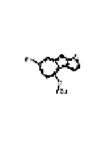 CCCCOc1ccc(C(C)C)cc2cc3sccc3c1-2